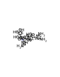 Nc1cc(N)nc(SCC2=C(C(=O)O)N3C(=O)C(NC(=O)/C(=N\O[C@@H](C(=O)O)c4ccc(O)c(O)c4)c4csc(N)n4)[C@H]3SC2)n1